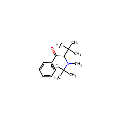 CN(C(C(=O)c1ccccc1)C(C)(C)C)C(C)(C)C